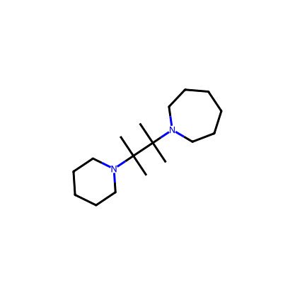 CC(C)(N1CCCCCC1)C(C)(C)N1CCCCC1